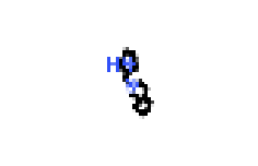 c1ccc2c(c1)CCN(CC1CC3CCC(C1)N3)C2